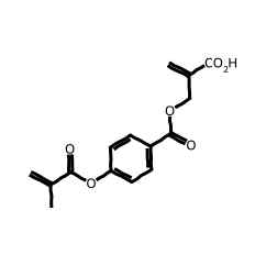 C=C(C)C(=O)Oc1ccc(C(=O)OCC(=C)C(=O)O)cc1